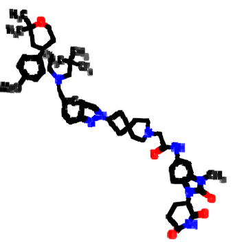 COc1ccc([C@]2(CCN(Cc3ccc4nn(C5CC6(CCN(CC(=O)Nc7ccc8c(c7)n(C)c(=O)n8C7CCC(=O)NC7=O)CC6)C5)cc4c3)CC(C)(C)C(F)(F)F)CCOC(C)(C)C2)cc1